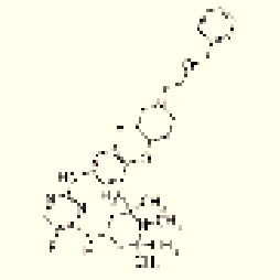 CN1C(C)(C)CC(Nc2nc(Nc3ccc(OC4CCN(CCOCc5ccccc5)CC4)c(F)c3)ncc2F)CC1(C)C